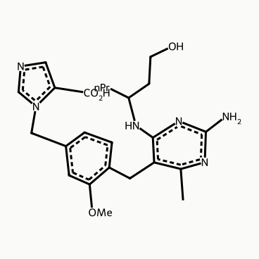 CCCC(CCO)Nc1nc(N)nc(C)c1Cc1ccc(Cn2cncc2C(=O)O)cc1OC